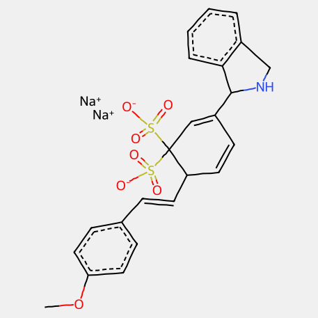 COc1ccc(C=CC2C=CC(C3NCc4ccccc43)=CC2(S(=O)(=O)[O-])S(=O)(=O)[O-])cc1.[Na+].[Na+]